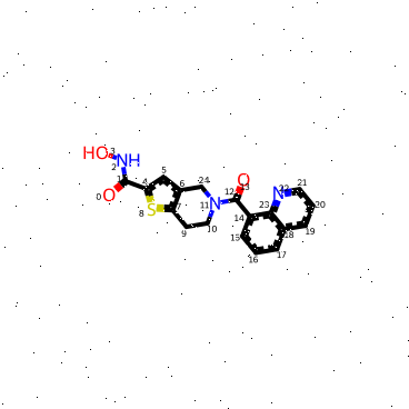 O=C(NO)c1cc2c(s1)CCN(C(=O)c1cccc3cccnc13)C2